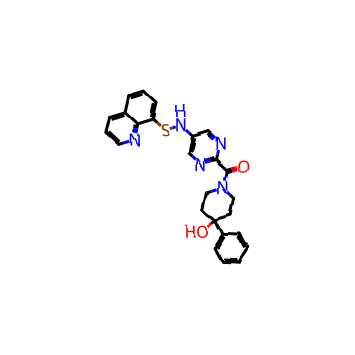 O=C(c1ncc(NSc2cccc3cccnc23)cn1)N1CCC(O)(c2ccccc2)CC1